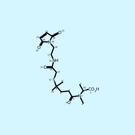 C[C@@H](C(=O)O)N(C)C(=O)CCC(C)(C)SCC(=O)NCCN1C(=O)C=CC1=O